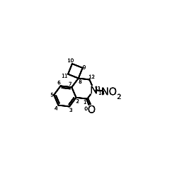 O=C1c2ccccc2C2(CCC2)CN1[N+](=O)[O-]